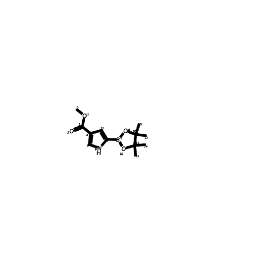 COC(=O)c1c[nH]c(B2OC(C)(C)C(C)(C)O2)c1